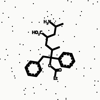 CCC(=O)OC(Cc1ccccc1)(c1ccccc1)C(C)CC(CC(C)N)C(=O)O